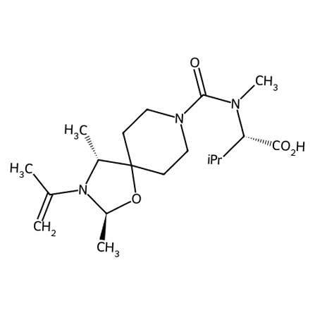 C=C(C)N1[C@H](C)OC2(CCN(C(=O)N(C)[C@H](C(=O)O)C(C)C)CC2)[C@H]1C